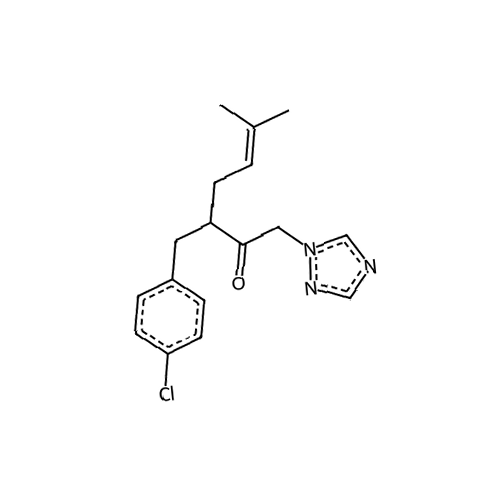 CC(C)=CCC(Cc1ccc(Cl)cc1)C(=O)Cn1cncn1